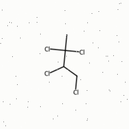 CC(Cl)(Cl)C(Cl)CCl